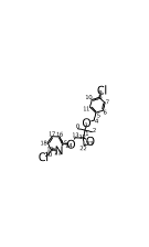 CC(C)(OCc1ccc(Cl)cc1)C1(COc2cccc(Cl)n2)CO1